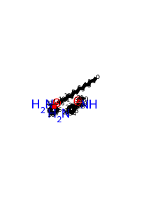 CCCCCCCCCCCCCCOc1ccccc1N.Nc1ccc(C2CNCCO2)cc1